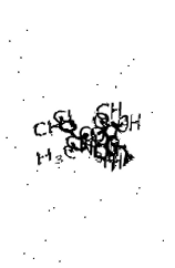 COc1cc(O)c2c3c1O[C@H]1[C@@H](N(CC(C)C)C(=O)Cc4ccc(Cl)c(Cl)c4)CC[C@H]4[C@@H](C2)N(CC2CC2)CC[C@@]341